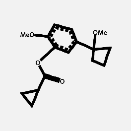 COc1ccc(C2(OC)CCC2)cc1OC(=O)C1CC1